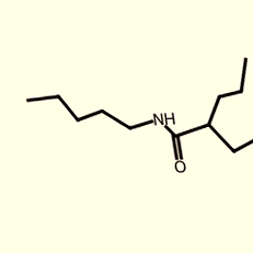 CCCCCNC(=O)C(CC)CCC